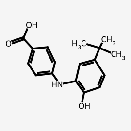 CC(C)(C)c1ccc(O)c(Nc2ccc(C(=O)O)cc2)c1